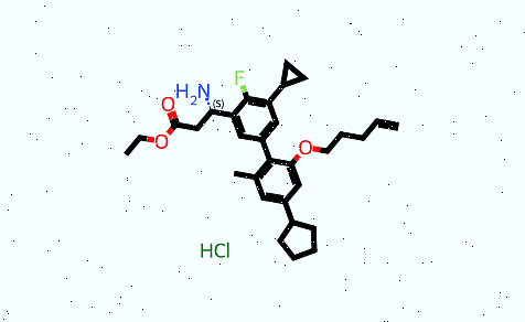 C=CCCCOc1cc(C2CCCC2)cc(C)c1-c1cc(C2CC2)c(F)c([C@@H](N)CC(=O)OCC)c1.Cl